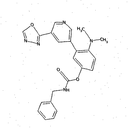 CN(C)c1ccc(OC(=O)NCc2ccccc2)cc1-c1cncc(-c2nnco2)c1